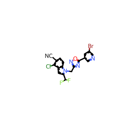 N#Cc1ccc2c(cc(C(F)F)n2Cc2noc(-c3cncc(Br)c3)n2)c1Cl